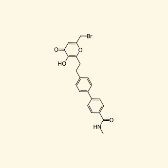 CNC(=O)c1ccc(-c2ccc(CCc3oc(CBr)cc(=O)c3O)cc2)cc1